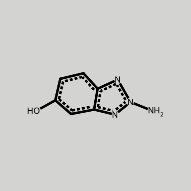 Nn1nc2ccc(O)cc2n1